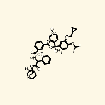 C[C@](OC(=O)c1cccc(S(=O)(=O)NC(C(=O)O[C@H]2CN3CCC2CC3)c2ccccc2F)c1)(c1cc[n+]([O-])cc1)c1ccc(OC(F)F)c(OCC2CC2)c1